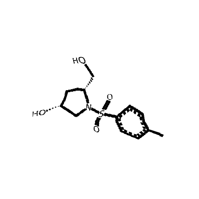 Cc1ccc(S(=O)(=O)N2C[C@H](O)C[C@@H]2CO)cc1